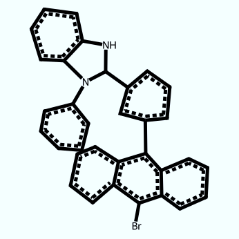 Brc1c2ccccc2c(-c2cccc(C3Nc4ccccc4N3c3ccccc3)c2)c2ccccc12